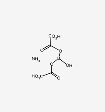 N.O=C(O)C(=O)OB(O)OC(=O)C(=O)O